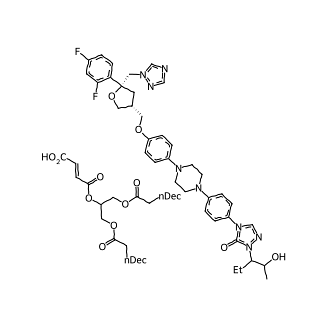 CCC(C(C)O)n1ncn(-c2ccc(N3CCN(c4ccc(OC[C@@H]5CO[C@@](Cn6cncn6)(c6ccc(F)cc6F)C5)cc4)CC3)cc2)c1=O.CCCCCCCCCCCC(=O)OCC(COC(=O)CCCCCCCCCCC)OC(=O)/C=C/C(=O)O